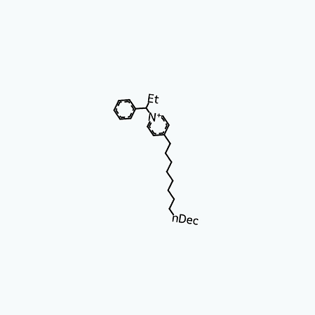 CCCCCCCCCCCCCCCCCCc1cc[n+](C(CC)c2ccccc2)cc1